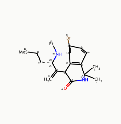 C=C(C1C(=O)NC(C)(C)c2ccc(Br)cc21)[C@H](CCSC)NCC